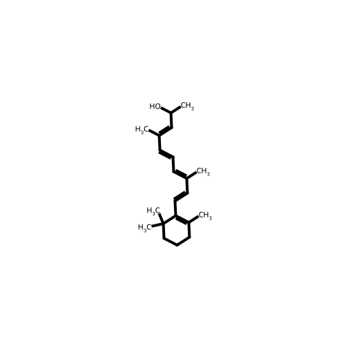 CC(C=CC1=C(C)CCCC1(C)C)=CC=CC(C)=CC(C)O